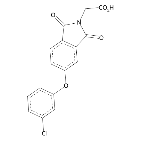 O=C(O)CN1C(=O)c2ccc(Oc3cccc(Cl)c3)cc2C1=O